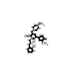 Cc1cc(C2=CC(CN3CCN(C)CC3)=C(O)N(CCCc3ccccc3Cl)N2)ccc1F